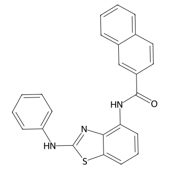 O=C(Nc1cccc2sc(Nc3ccccc3)nc12)c1ccc2ccccc2c1